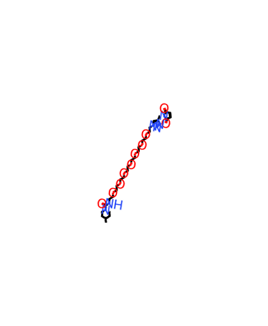 CC1CCN(C(=O)NCCOCCOCCOCCOCCOCCOCCOCCn2cc(CN3C(=O)C=CC3=O)nn2)CC1